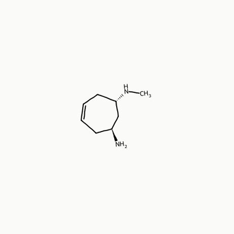 CN[C@H]1CC=CC[C@H](N)C1